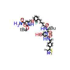 Cc1ncsc1-c1ccc([C@H](C)NC(=O)[C@@H]2C[C@@H](O)CN2C(=O)C(NC(=O)CCCCc2cccc(OC[C@H](CCC(N)=O)NC(=O)OC(C)(C)C)c2F)C(C)(C)C)cc1